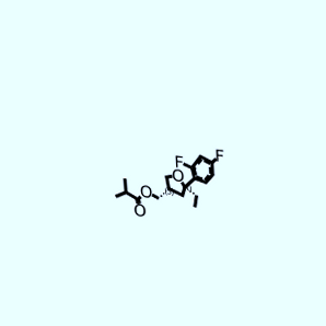 CC[C@]1(c2ccc(F)cc2F)C[C@H](COC(=O)C(C)C)CO1